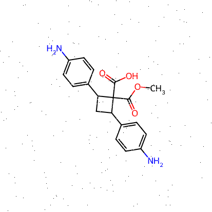 COC(=O)C1(C(=O)O)C(c2ccc(N)cc2)CC1c1ccc(N)cc1